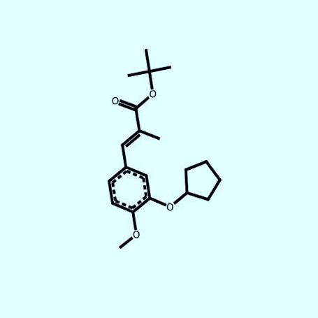 COc1ccc(/C=C(\C)C(=O)OC(C)(C)C)cc1OC1CCCC1